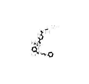 COCCNC(=O)c1ccc(C(=O)NS(=O)(=O)c2ccc(Cl)c(C(=O)NCCOc3ccccc3)c2)cn1